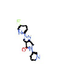 O=C1c2cn(C3=CCC(F)C=N3)nc2CN1c1cccnc1